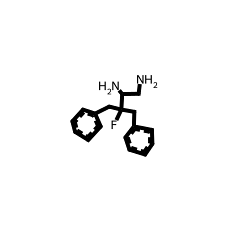 NCC(N)C(F)(Cc1ccccc1)Cc1ccccc1